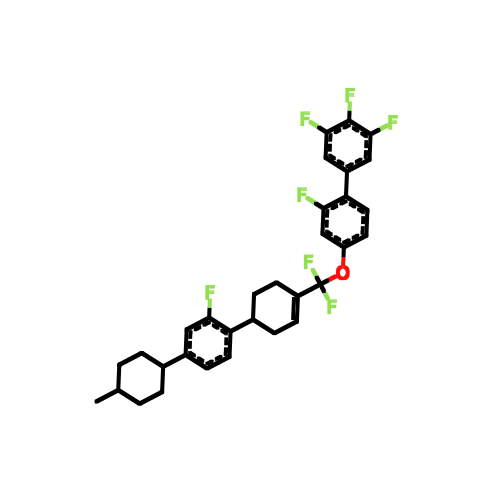 CC1CCC(c2ccc(C3CC=C(C(F)(F)Oc4ccc(-c5cc(F)c(F)c(F)c5)c(F)c4)CC3)c(F)c2)CC1